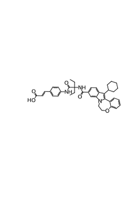 CCC(CC)(NC(=O)c1ccc2c(C3CCCCC3)c3n(c2c1)CCOc1ccccc1-3)C(=O)Nc1ccc(/C=C/C(=O)O)cc1